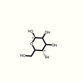 OCC1O[C@@H](O)C(O)C(O)[C@@H]1S